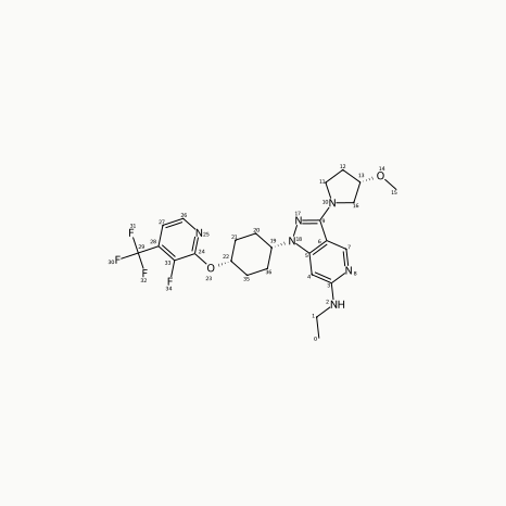 CCNc1cc2c(cn1)c(N1CC[C@H](OC)C1)nn2[C@H]1CC[C@@H](Oc2nccc(C(F)(F)F)c2F)CC1